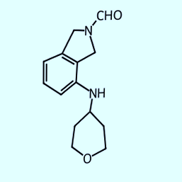 O=CN1Cc2cccc(NC3CCOCC3)c2C1